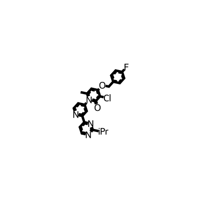 Cc1cc(OCc2ccc(F)cc2)c(Cl)c(=O)n1-c1ccnc(-c2ccnc(C(C)C)n2)c1